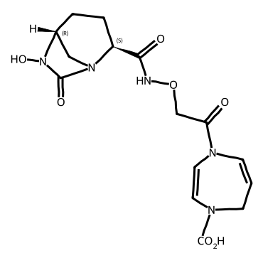 O=C(NOCC(=O)N1C=CCN(C(=O)O)C=C1)[C@@H]1CC[C@@H]2CN1C(=O)N2O